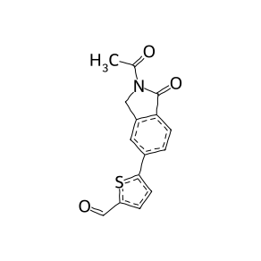 CC(=O)N1Cc2cc(-c3ccc(C=O)s3)ccc2C1=O